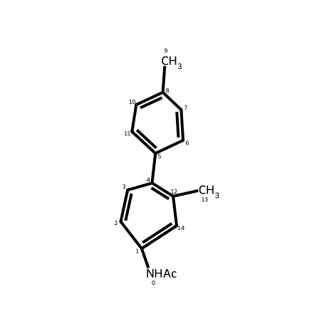 CC(=O)Nc1ccc(-c2ccc(C)cc2)c(C)c1